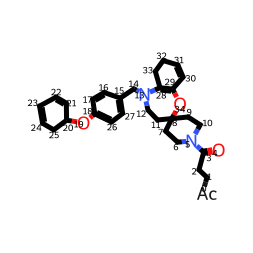 CC(=O)CCC(=O)N1CCC2(CC1)CCN(Cc1ccc(OC3C=CC=CC3)cc1)C1=C(C=CCC1)O2